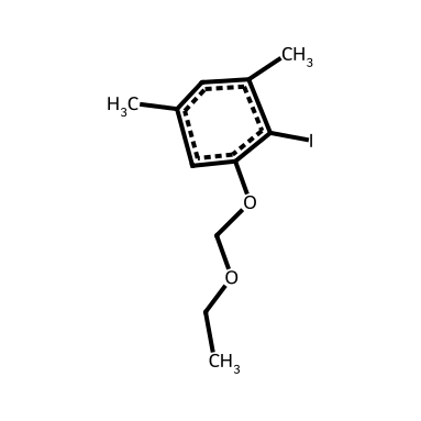 CCOCOc1cc(C)cc(C)c1I